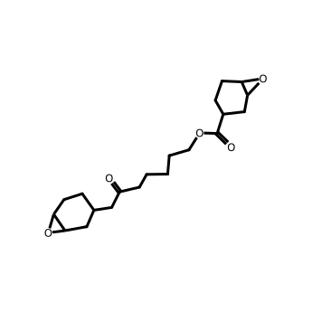 O=C(CCCCCOC(=O)C1CCC2OC2C1)CC1CCC2OC2C1